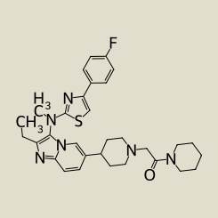 CCc1nc2ccc(C3CCN(CC(=O)N4CCCCC4)CC3)cn2c1N(C)c1nc(-c2ccc(F)cc2)cs1